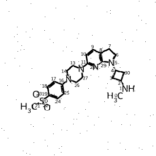 CN[C@H]1C[C@H](N2CCc3ccc(N4CCN(c5ccc(S(C)(=O)=O)cc5)CC4)nc32)C1